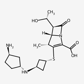 C[C@@H](O)[C@H]1C(=O)N2C(C(=O)O)=C(S[C@H]3C[C@H](N[C@@H]4CC[C@@H](N)C4)C3)[C@H](C)[C@H]12